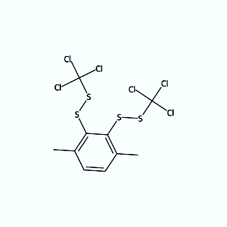 Cc1ccc(C)c(SSC(Cl)(Cl)Cl)c1SSC(Cl)(Cl)Cl